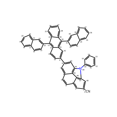 N#Cc1cc2ccc3cc(-c4ccc5c(-c6ccc7ccccc7c6)c6ccccc6c(-c6ccc7ccccc7c6)c5c4)cc4c3c2c(c1)n4-c1ccccc1